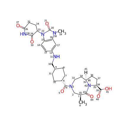 C[C@H]1CN(C(=O)[C@H]2CC[C@H](CNc3ccc4c(c3)n(C)c(=O)n4C3CCC(=O)NC3=O)CC2)CC[C@H]2CC[C@@H](C(=O)O)N2C1=O